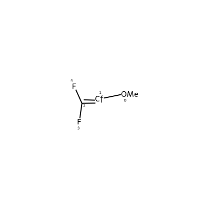 C[O][Cf]=[C](F)F